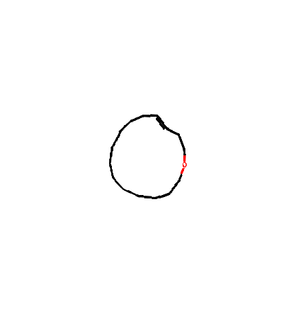 C1=C/CCOCCCCCCCCCCC/1